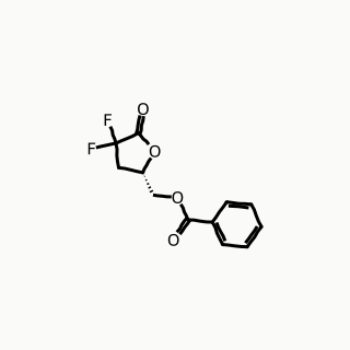 O=C(OC[C@@H]1CC(F)(F)C(=O)O1)c1ccccc1